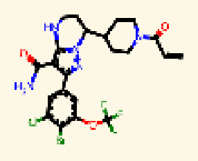 C=CC(=O)N1CCC(C2CCNc3c(C(N)=O)c(-c4cc(Cl)c(Br)c(OC(F)(F)F)c4)nn32)CC1